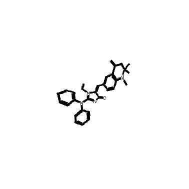 CCN1C(N(c2ccccc2)c2ccccc2)=NC(=O)/C1=C\c1ccc2c(c1)C(C)CC(C)(C)N2C